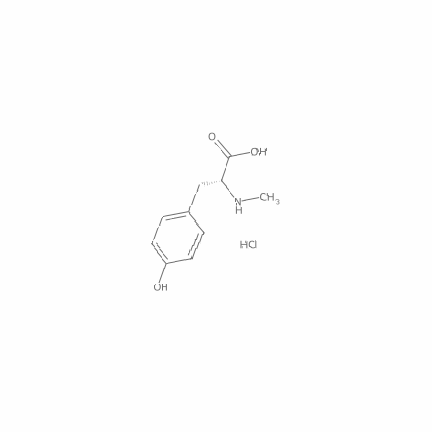 CN[C@H](Cc1ccc(O)cc1)C(=O)O.Cl